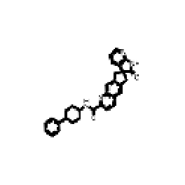 O=C(NC1CCC(c2ccccc2)CC1)c1ccc2cc3c(cc2n1)CC1(C3)C(=O)Nc2ncccc21